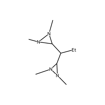 CCC(C1N(C)N1C)C1N(C)N1C